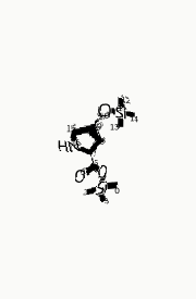 C[Si](C)(C)OC(=O)[C@H]1C[C@@H](O[Si](C)(C)C)CN1